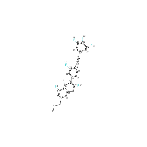 CCCc1cc(F)c2c(F)c(-c3ccc(C#Cc4cc(F)c(F)c(F)c4)c(F)c3)c(F)cc2c1